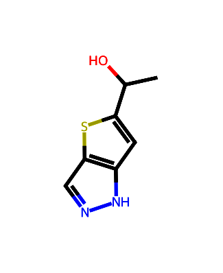 CC(O)c1cc2[nH]ncc2s1